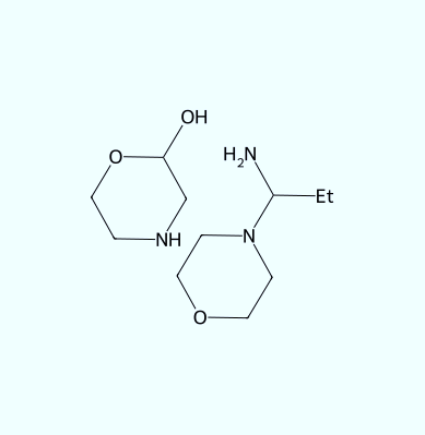 CCC(N)N1CCOCC1.OC1CNCCO1